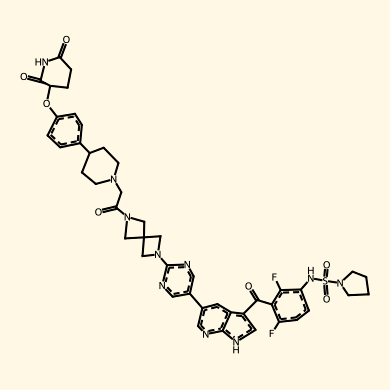 O=C1CCC(Oc2ccc(C3CCN(CC(=O)N4CC5(C4)CN(c4ncc(-c6cnc7[nH]cc(C(=O)c8c(F)ccc(NS(=O)(=O)N9CCCC9)c8F)c7c6)cn4)C5)CC3)cc2)C(=O)N1